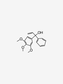 C=CC(O)(c1ccccc1)c1cc(OC)c(OC)c(OC)c1